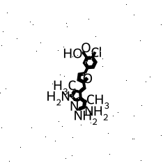 CC1=C(N)c2nc(N)c(N)c(C)c2/C1=C/c1ccc(-c2ccc(Cl)c(C(=O)O)c2)o1